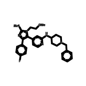 COCCn1c(SC)nc(-c2ccc(F)cc2)c1-c1ccnc(NC2CCN(Cc3ccccc3)CC2)c1